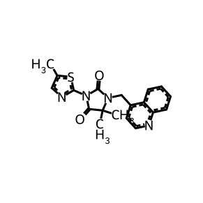 Cc1cnc(N2C(=O)N(Cc3ccnc4ccccc34)C(C)(C)C2=O)s1